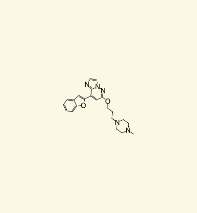 CN1CCN(CCCOc2cc(-c3cc4ccccc4o3)c3nccn3n2)CC1